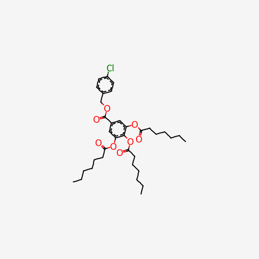 CCCCCCC(=O)Oc1cc(C(=O)OCc2ccc(Cl)cc2)cc(OC(=O)CCCCCC)c1OC(=O)CCCCCC